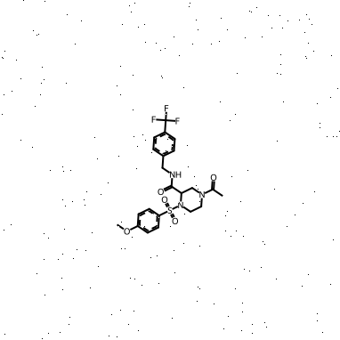 COc1ccc(S(=O)(=O)N2CCN(C(C)=O)CC2C(=O)NCc2ccc(C(F)(F)F)cc2)cc1